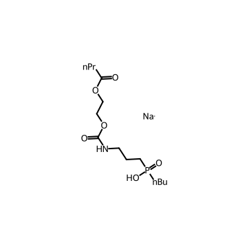 CCCCP(=O)(O)CCCNC(=O)OCCOC(=O)CCC.[Na]